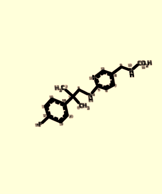 CC(C)(CNc1ccc(CNC(=O)O)cn1)c1ccc(F)cc1